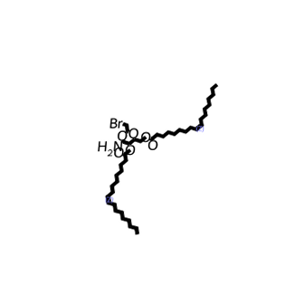 CCCCCCCC/C=C\CCCCCCCC(=O)OCC(OCCBr)C(OC(=O)CCCCCCC/C=C\CCCCCCCC)C(N)=O